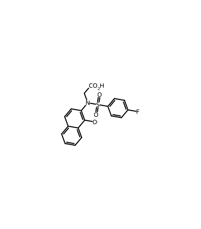 [O]c1c(N(CC(=O)O)S(=O)(=O)c2ccc(F)cc2)ccc2ccccc12